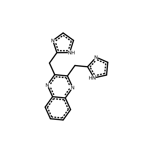 c1ccc2nc(Cc3ncc[nH]3)c(Cc3ncc[nH]3)nc2c1